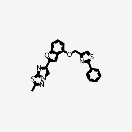 Cc1nn2cc(-c3cc4c(OCc5csc(-c6ccccc6)n5)cccc4o3)nc2s1